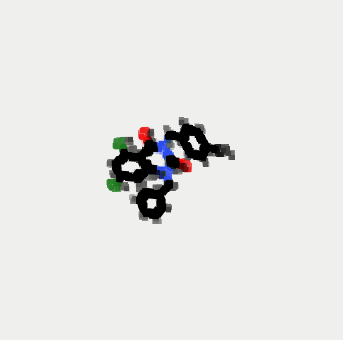 Cc1ccc(Cn2c(=O)c3c(Cl)cc(Cl)cc3n(Cc3ccccc3)c2=O)cc1